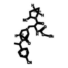 CC(c1ccc(C#N)cc1)N1C(=O)C2C[C@H]1CN2CC(NC(=O)OC(C)(C)C)C(=O)N1C(C#N)C[C@@H]2C[C@@H]21